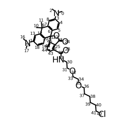 CN(C)c1ccc2c(c1)C(C)(C)c1cc(N(C)C)ccc1C21OC(=O)c2c(C(=O)NCCOCCOCCCCCCCl)cccc21